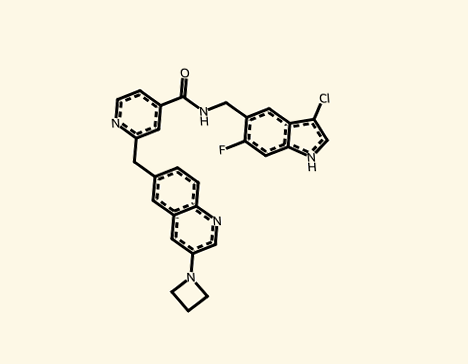 O=C(NCc1cc2c(Cl)c[nH]c2cc1F)c1ccnc(Cc2ccc3ncc(N4CCC4)cc3c2)c1